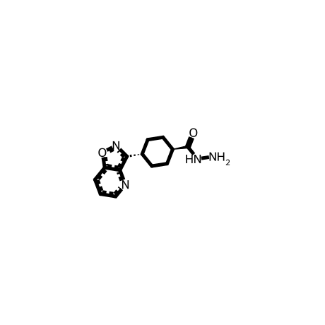 NNC(=O)[C@H]1CC[C@H](c2noc3cccnc32)CC1